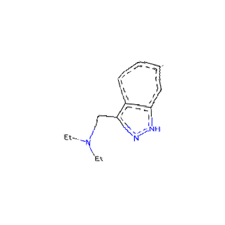 CCN(CC)Cc1n[nH]c2c[c]ccc12